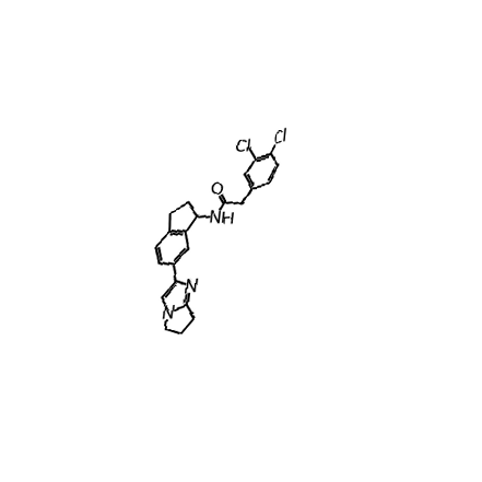 O=C(Cc1ccc(Cl)c(Cl)c1)NC1CCc2ccc(-c3cn4c(n3)CCC4)cc21